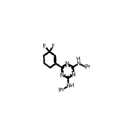 CC(C)Nc1nc(NC(C)C)nc(C2=CC(F)(F)CCC2)n1